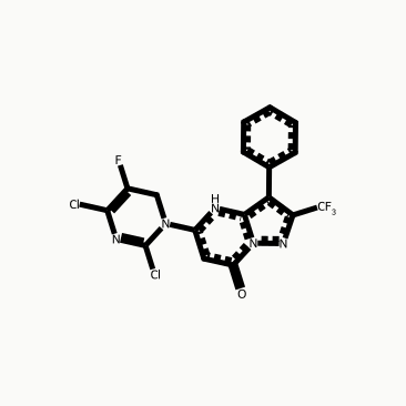 O=c1cc(N2CC(F)=C(Cl)N=C2Cl)[nH]c2c(-c3ccccc3)c(C(F)(F)F)nn12